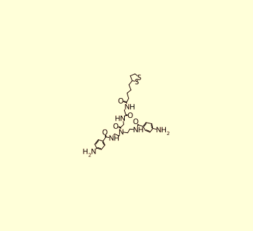 Nc1ccc(C(=O)NCCN(CCNC(=O)c2ccc(N)cc2)C(=O)CNC(=O)CNC(=O)CCCCC2CCSS2)cc1